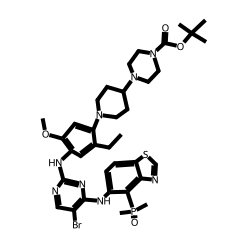 CCc1cc(Nc2ncc(Br)c(Nc3ccc4scnc4c3P(C)(C)=O)n2)c(OC)cc1N1CCC(N2CCN(C(=O)OC(C)(C)C)CC2)CC1